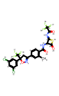 Cc1cc(C2=NOC(c3cc(Cl)cc(Cl)c3)(C(F)(F)F)C2)ccc1C(=O)NC1C(=O)SC1=NC(=O)C(F)(F)F